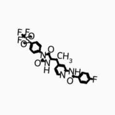 CC(c1ccnc(NC(=O)c2ccc(F)cc2)c1)C1NC(=O)N(c2ccc(S(=O)(=O)C(F)(F)F)cc2)C1=O